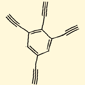 C#Cc1[c]c(C#C)c(C#C)c(C#C)c1